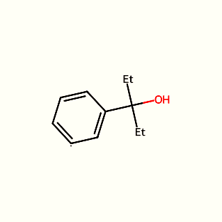 CCC(O)(CC)c1c[c]ccc1